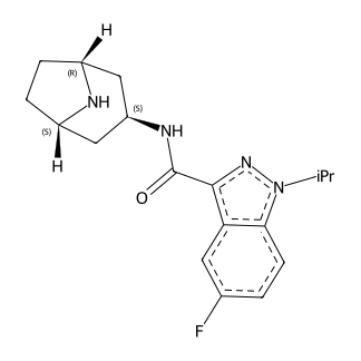 CC(C)n1nc(C(=O)N[C@@H]2C[C@H]3CC[C@@H](C2)N3)c2cc(F)ccc21